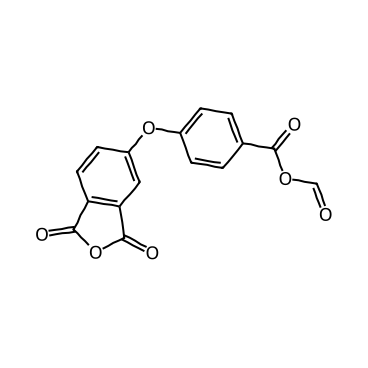 O=COC(=O)c1ccc(Oc2ccc3c(c2)C(=O)OC3=O)cc1